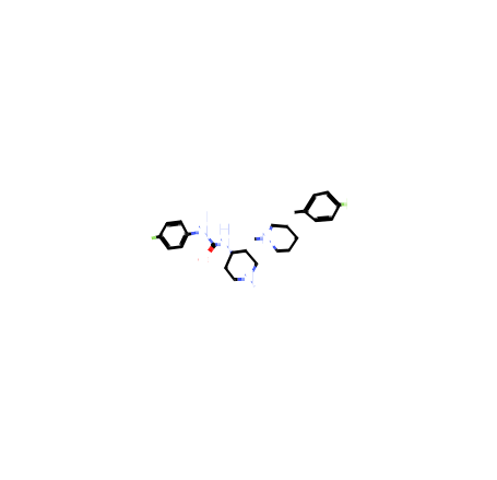 CN1CC[C@@H](NC(=O)Nc2ccc(F)cc2)[C@H](CN2CCC[C@@H](Cc3ccc(F)cc3)C2)C1